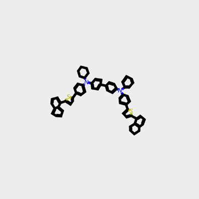 C1=Cc2c(cccc2-c2ccc(-c3ccc(N(c4ccccc4)c4ccc(-c5ccc(N(c6ccc(-c7ccc(-c8cccc9ccccc89)s7)cc6)C6CCCCC6)cc5)cc4)cc3)s2)CC1